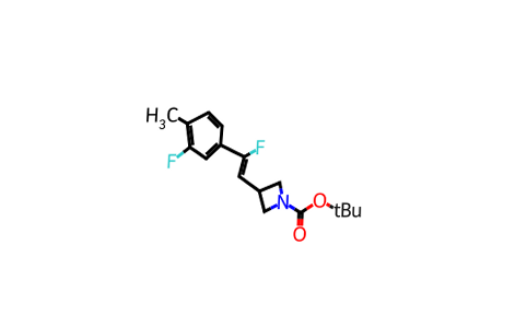 Cc1ccc(C(F)=CC2CN(C(=O)OC(C)(C)C)C2)cc1F